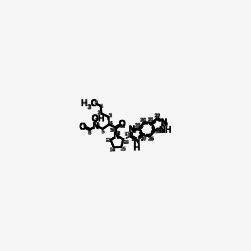 CCCC[C@H](CN(O)C=O)C(=O)N1CCC[C@H]1c1nc2cc3cn[nH]c3cc2[nH]1